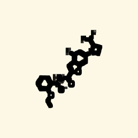 CCOc1ccccc1[S+]([O-])NC(=O)c1cc2c(F)cc(N3CCC3C(F)F)cc2o1